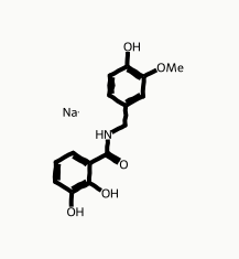 COc1cc(CNC(=O)c2cccc(O)c2O)ccc1O.[Na]